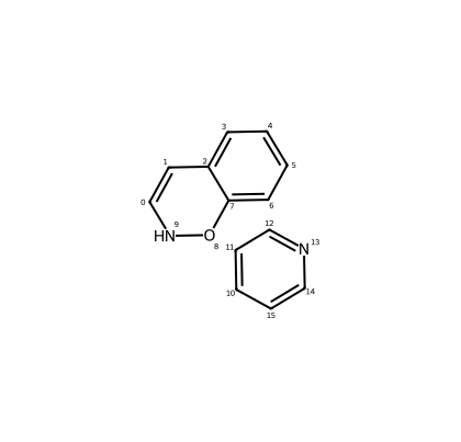 C1=Cc2ccccc2ON1.c1ccncc1